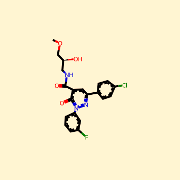 COC[C@@H](O)CNC(=O)c1cc(-c2ccc(Cl)cc2)nn(-c2cccc(F)c2)c1=O